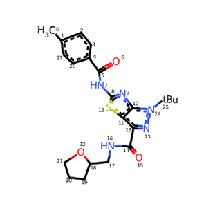 Cc1ccc(C(=O)Nc2nc3c(s2)c(C(=O)NCC2CCCO2)nn3C(C)(C)C)cc1